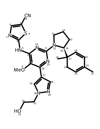 COc1c(Nc2ncc(C#N)s2)nc(N2CCC[C@H]2C2(C)C=CC(C)=CC2)nc1-c1cnn(CCO)c1